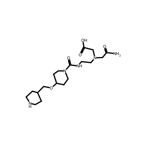 NC(=O)CN(CCNC(=O)N1CCC(OCC2CCNCC2)CC1)CC(=O)O